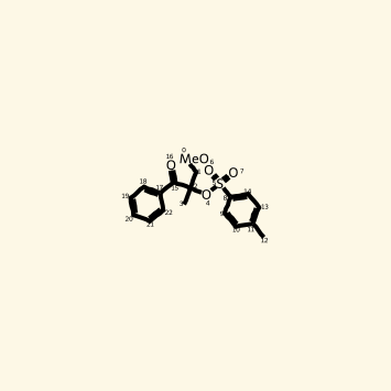 COCC(C)(OS(=O)(=O)c1ccc(C)cc1)C(=O)c1ccccc1